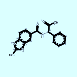 O=C(N[C@H](C(=O)O)c1ccccc1)c1ccc2oc(O)nc2c1